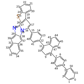 c1ccc(-c2ccc(-c3ccc(-c4ccc(-c5cc6c7ccccc7sc6c6nc7cc8ccccc8cc7n56)cc4)c4ccccc34)cc2)cc1